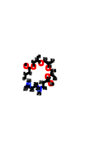 CCCC(=O)OCC(C)OCC(C)OCC(C)OC(=O)CCN(C)CCN(C)C